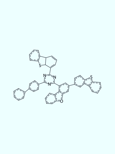 C1=CC2c3ccccc3SC2C(c2nc(-c3ccc(-c4ccccc4)cc3)nc(-c3cc(-c4ccc5sc6ccccc6c5c4)cc4oc5ccccc5c34)n2)=C1